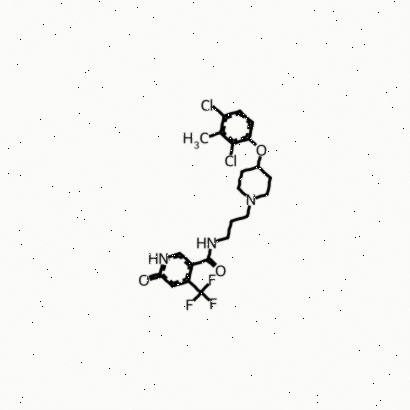 Cc1c(Cl)ccc(OC2CCN(CCCNC(=O)c3c[nH]c(=O)cc3C(F)(F)F)CC2)c1Cl